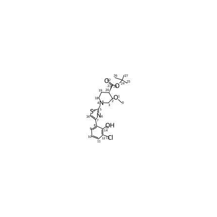 CO[C@H]1CN(c2nc(-c3cccc(Cl)c3O)cs2)CC[C@H]1C(=O)OC(C)(C)C